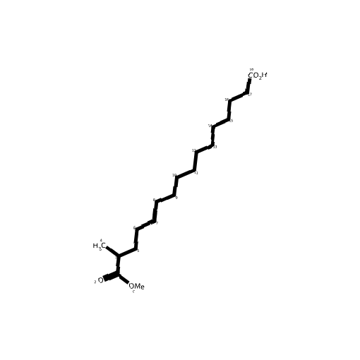 COC(=O)C(C)CCCCCCCCCCCCCC(=O)O